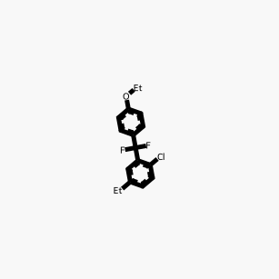 CCOc1ccc(C(F)(F)c2cc(CC)ccc2Cl)cc1